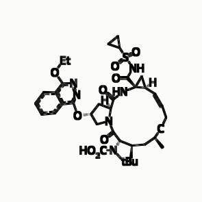 CCOc1nnc(O[C@@H]2C[C@H]3C(=O)N[C@]4(C(=O)NS(=O)(=O)C5CC5)C[C@H]4C=CCC[C@@H](C)C[C@@H](C)[C@H](N(C(=O)O)C(C)(C)C)C(=O)N3C2)c2ccccc12